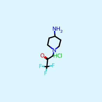 Cl.NC1CCN(CC(=O)C(F)(F)F)CC1